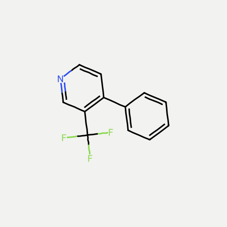 FC(F)(F)c1cnccc1-c1ccccc1